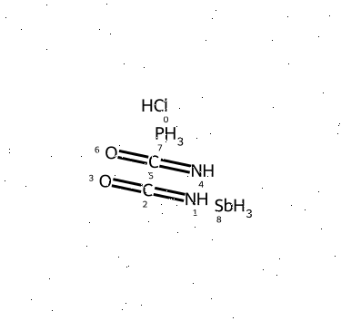 Cl.N=C=O.N=C=O.P.[SbH3]